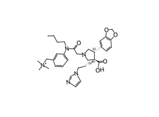 CCCCN(C(=O)CN1C[C@H](c2ccc3c(c2)OCO3)[C@@H](C(=O)O)[C@@H]1CCn1ccnc1)c1cccc(C[N+](C)(C)C)c1